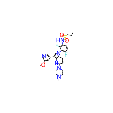 CCCS(=O)(=O)Nc1ccc(F)c(-n2cc(-c3cncc(OC)c3)c3nc(N4CCN(C)CC4)ccc32)c1F